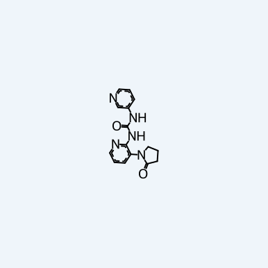 O=C(Nc1cccnc1)Nc1ncccc1N1CCCC1=O